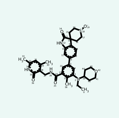 CCN(c1cc(-c2ccc3c(c2)NC(=O)C32CC[S+]([O-])CC2)cc(C(=O)NCc2c(C)cc(C)[nH]c2=O)c1C)C1CCOCC1